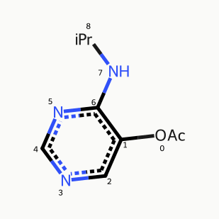 CC(=O)Oc1cncnc1NC(C)C